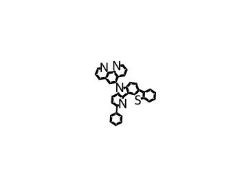 c1ccc(-c2ccc3c(n2)c2c4sc5ccccc5c4ccc2n3-c2cc3cccnc3c3ncccc23)cc1